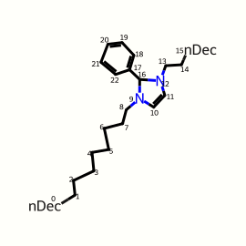 CCCCCCCCCCCCCCCCCCN1C=CN(CCCCCCCCCCCC)C1c1ccccc1